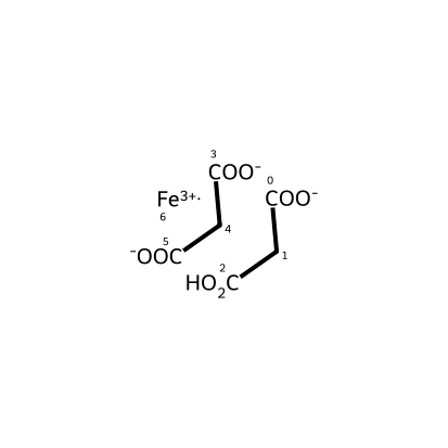 O=C([O-])CC(=O)O.O=C([O-])CC(=O)[O-].[Fe+3]